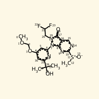 COCOc1cc(-n2c3nc([S+](C)[O-])ncc3c(=O)n2CC(F)F)nc(C(C)(C)O)c1